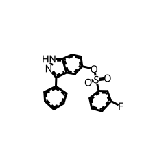 O=S(=O)(Oc1ccc2[nH]nc(-c3ccccc3)c2c1)c1cccc(F)c1